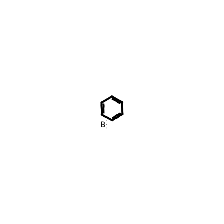 [B].c1ccccc1